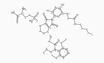 CCCCCOC(=O)COc1cc(N2C(=O)C3=C(CCCC3)C2=O)c(F)cc1Cl.CCc1cccc(CC)c1N(COC)C(=O)CCl.CP(=O)(O)CCC(N)C(=O)O